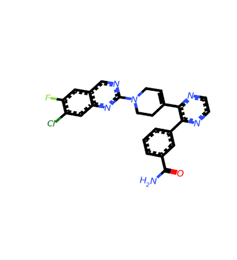 NC(=O)c1cccc(-c2nccnc2C2=CCN(c3ncc4cc(F)c(Cl)cc4n3)CC2)c1